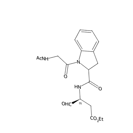 CCOC(=O)C[C@@H](C=O)NC(=O)C1Cc2ccccc2N1C(=O)CNC(C)=O